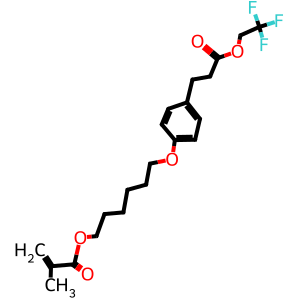 C=C(C)C(=O)OCCCCCCOc1ccc(CCC(=O)OCC(F)(F)F)cc1